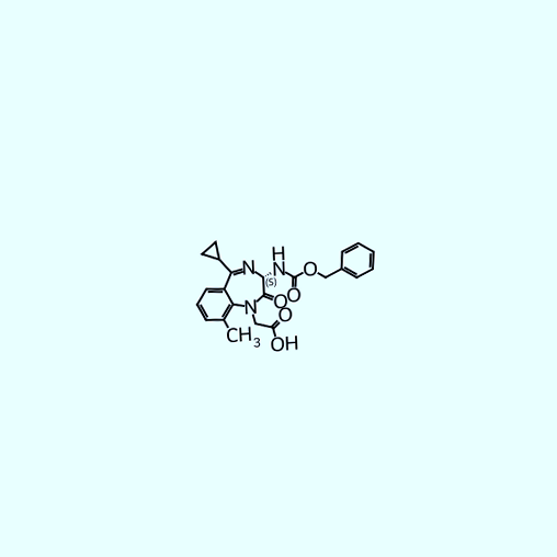 Cc1cccc2c1N(CC(=O)O)C(=O)[C@@H](NC(=O)OCc1ccccc1)N=C2C1CC1